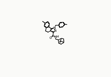 Cc1ccc(Cn2nc(C(=O)NCC3CCC4CC3C4(C)C)c3c2-c2ccc(C)cc2CC3)cc1